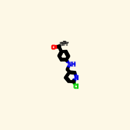 CCCC(=O)c1ccc(NCc2ccc(Cl)nc2)cc1